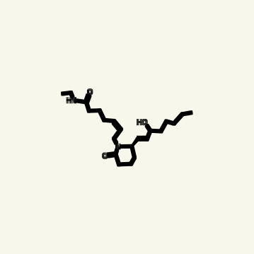 CCCCCC(O)/C=C/[C@H]1CCCC(=O)N1C/C=C\CCCC(=O)NCC